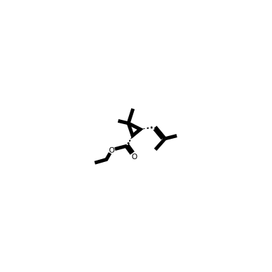 CCOC(=O)[C@H]1[C@@H](C=C(C)C)C1(C)C